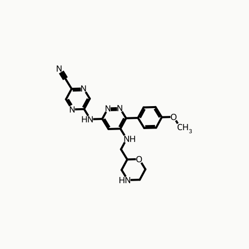 COc1ccc(-c2nnc(Nc3cnc(C#N)cn3)cc2NCC2CNCCO2)cc1